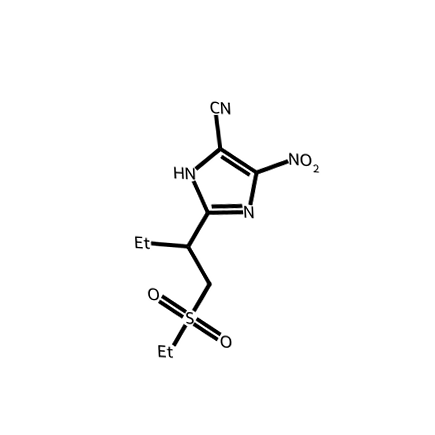 CCC(CS(=O)(=O)CC)c1nc([N+](=O)[O-])c(C#N)[nH]1